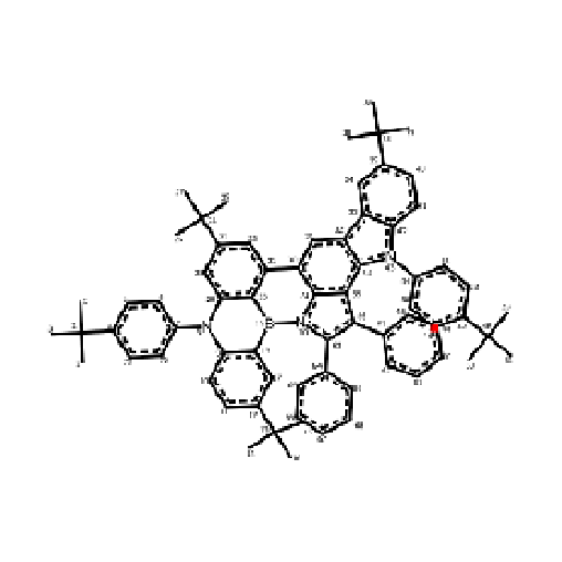 CC(C)(C)c1ccc(N2c3ccc(C(C)(C)C)cc3B3c4c(cc(C(C)(C)C)cc42)-c2cc4c5cc(C(C)(C)C)ccc5n(-c5ccc(C(C)(C)C)cc5)c4c4c(-c5ccccc5)c(-c5ccccc5)n3c24)cc1